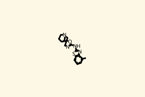 Cc1cccc2sc(NC3=NCC4(CN5CCC4CC5)O3)nc12